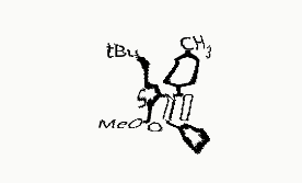 COC(=O)c1sc(C#CC(C)(C)C)cc1N(Cc1ccccc1)C(=O)C1CCC(C)CC1